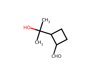 CC(C)(O)C1CCC1C=O